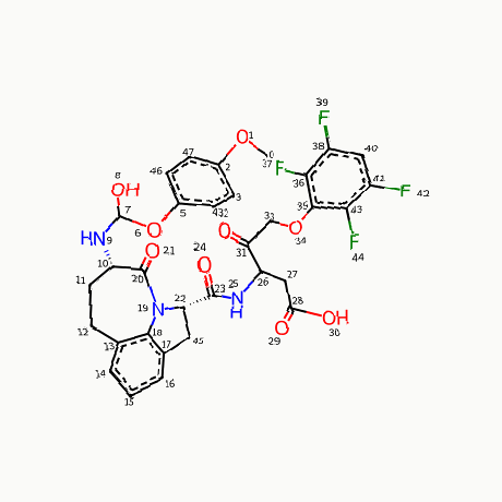 COc1ccc(OC(O)N[C@H]2CCc3cccc4c3N(C2=O)[C@H](C(=O)NC(CC(=O)O)C(=O)COc2c(F)c(F)cc(F)c2F)C4)cc1